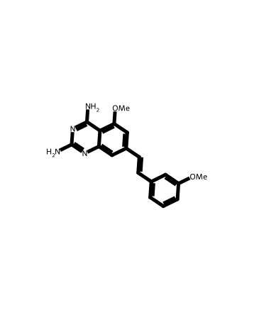 COc1cccc(C=Cc2cc(OC)c3c(N)nc(N)nc3c2)c1